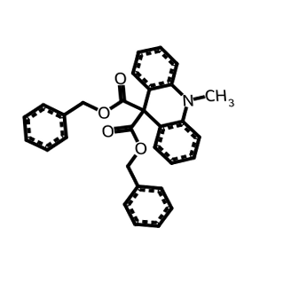 CN1c2ccccc2C(C(=O)OCc2ccccc2)(C(=O)OCc2ccccc2)c2ccccc21